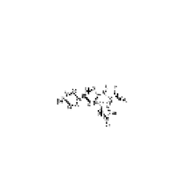 CC(=O)N1CCC(c2cnc(-c3ccc(F)cc3)cc2-c2ccn(C)n2)C1